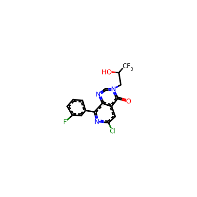 O=c1c2cc(Cl)nc(-c3cccc(F)c3)c2ncn1CC(O)C(F)(F)F